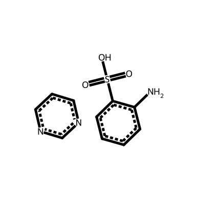 Nc1ccccc1S(=O)(=O)O.c1cncnc1